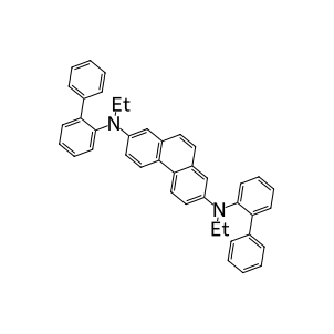 CCN(c1ccc2c(ccc3cc(N(CC)c4ccccc4-c4ccccc4)ccc32)c1)c1ccccc1-c1ccccc1